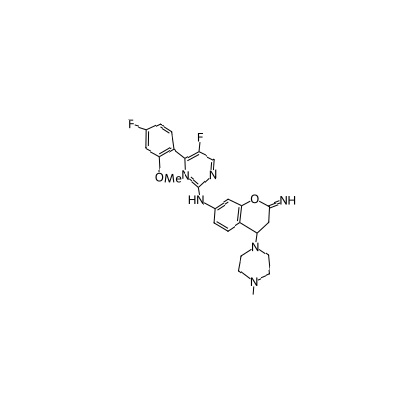 COc1cc(F)ccc1-c1nc(Nc2ccc3c(c2)OC(=N)CC3N2CCN(C)CC2)ncc1F